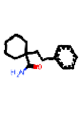 NC(=O)C1(CCc2ccccc2)CCCCC1